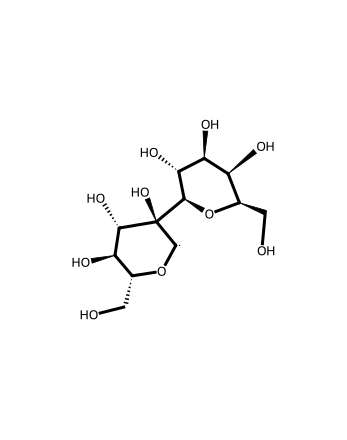 OC[C@H]1O[C@@H]([C@]2(O)[CH]O[C@H](CO)[C@@H](O)[C@@H]2O)[C@H](O)[C@@H](O)[C@H]1O